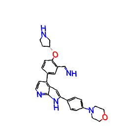 N=Cc1cc(-c2ccnc3[nH]c(-c4ccc(N5CCOCC5)cc4)cc23)ccc1O[C@@H]1CCNC1